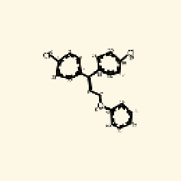 Clc1ccc(C(=CCOc2cc[c]cc2)c2ccc(Cl)cc2)cc1